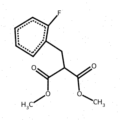 COC(=O)C(Cc1ccccc1F)C(=O)OC